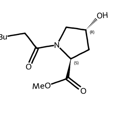 COC(=O)[C@@H]1C[C@@H](O)CN1C(=O)CC(C)(C)C